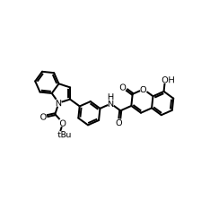 CC(C)(C)OC(=O)n1c(-c2cccc(NC(=O)c3cc4cccc(O)c4oc3=O)c2)cc2ccccc21